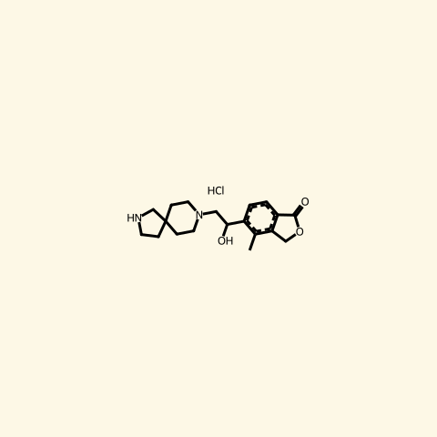 Cc1c(C(O)CN2CCC3(CCNC3)CC2)ccc2c1COC2=O.Cl